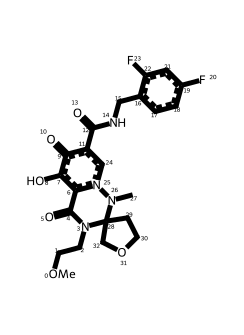 COCCN1C(=O)c2c(O)c(=O)c(C(=O)NCc3ccc(F)cc3F)cn2N(C)C12CCOC2